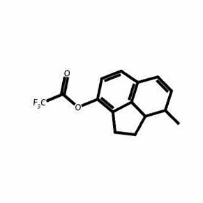 CC1C=Cc2ccc(OC(=O)C(F)(F)F)c3c2C1CC3